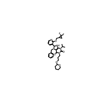 CC(C)n1c2c(c(=O)n(CCCOC3CCCCO3)c1=O)N(Cc1ccccc1)C(c1cccnc1OCC1CC1(F)F)N2